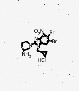 Cl.N[C@H]1CCCN(c2nc3c([N+](=O)[O-])c(Br)c(Br)cc3n2CC2CC2)C1